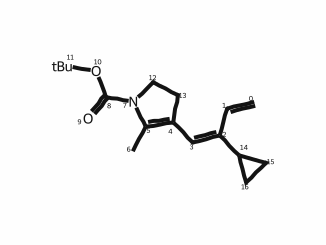 C=C/C(=C\C1=C(C)N(C(=O)OC(C)(C)C)CC1)C1CC1